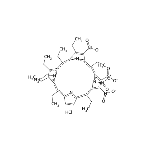 CCC1=C([N+](=O)[O-])c2nc1c(CC)c1c(CC)c(CC)c(c(CC)c3nc(c(CC)c4c([N+](=O)[O-])c([N+](=O)[O-])c(c2CC)n4[N+](=O)[O-])C=C3)n1CC.Cl